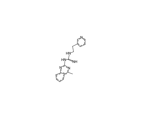 Cc1nc(NC(=N)NCCc2cccnc2)nc2ccccc12